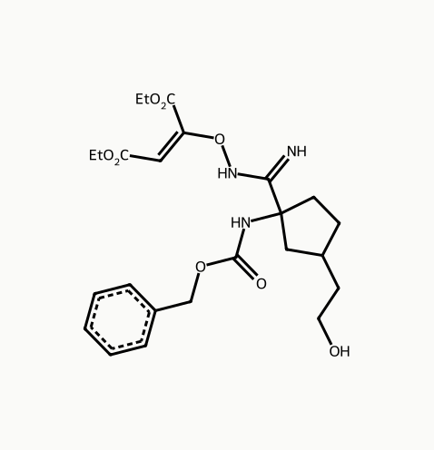 CCOC(=O)C=C(ONC(=N)C1(NC(=O)OCc2ccccc2)CCC(CCO)C1)C(=O)OCC